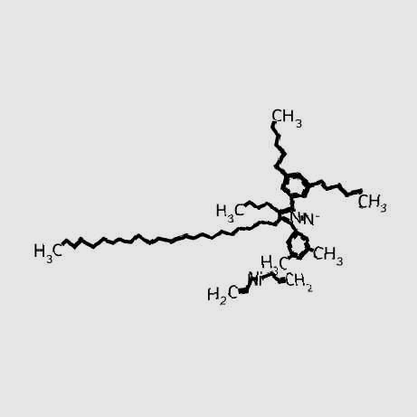 C=C[CH2][Ni][CH2]C=C.CCCCCCCCCCCCCCCCCCCCCCCC1=C(c2cc(C)cc(C)c2)[N+](=[N-])C(c2cc(CCCCCC)cc(CCCCCC)c2)=C1CCCC